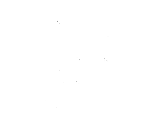 O=C(Nc1cnc(Br)c(-c2cccnc2)n1)C1CC1